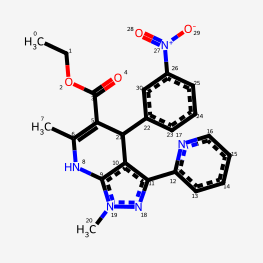 CCOC(=O)C1=C(C)Nc2c(c(-c3ccccn3)nn2C)C1c1cccc([N+](=O)[O-])c1